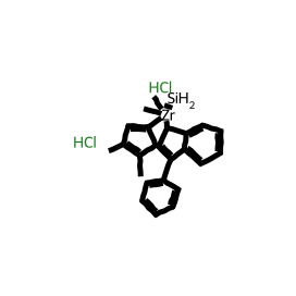 CC1=C(C)C[C]([Zr]([CH3])([CH3])(=[SiH2])[CH]2C=C(c3ccccc3)c3ccccc32)=C1.Cl.Cl